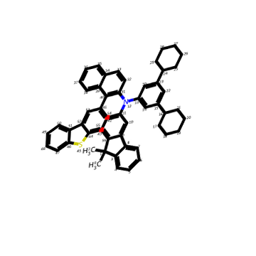 CC1(C)c2ccccc2-c2cc(N(c3cc(C4CCCCC4)cc(C4CCCCC4)c3)c3ccc4ccccc4c3-c3ccc4sc5ccccc5c4c3)ccc21